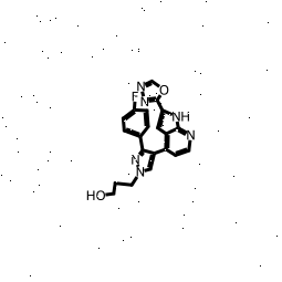 OCCCn1cc(-c2ccnc3[nH]c(-c4nnco4)cc23)c(-c2ccc(F)cc2)n1